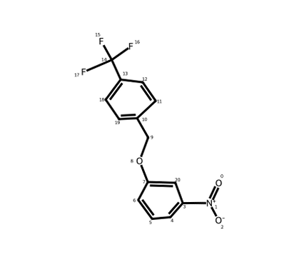 O=[N+]([O-])c1cccc(OCc2ccc(C(F)(F)F)cc2)c1